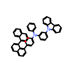 c1ccc(N(c2ccc(-c3cccc4cccc(-c5cccc6ccccc56)c34)cc2)c2cccc(-n3c4ccccc4c4ccccc43)c2)cc1